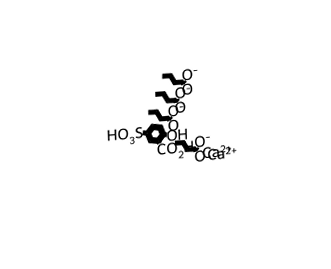 CCCC(=O)[O-].CCCC(=O)[O-].CCCC(=O)[O-].CCCC(=O)[O-].O=C(O)c1cc(S(=O)(=O)O)ccc1O.[Ca+2].[Ca+2]